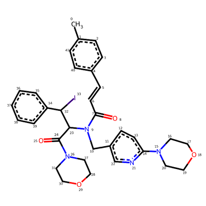 Cc1ccc(C=CC(=O)N(Cc2ccc(N3CCOCC3)nc2)C(C(=O)N2CCOCC2)C(I)c2ccccc2)cc1